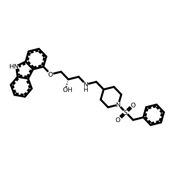 O=S(=O)(Cc1ccccc1)N1CCC(CNC[C@H](O)COc2cccc3[nH]c4ccccc4c23)CC1